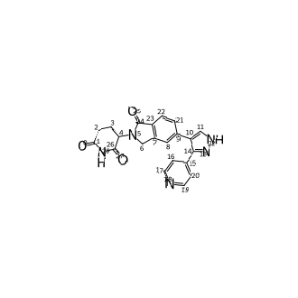 O=C1CCC(N2Cc3cc(-c4c[nH]nc4-c4ccncc4)ccc3C2=O)C(=O)N1